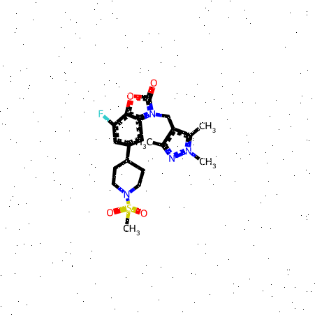 Cc1nn(C)c(C)c1Cn1c(=O)oc2c(F)cc(C3CCN(S(C)(=O)=O)CC3)cc21